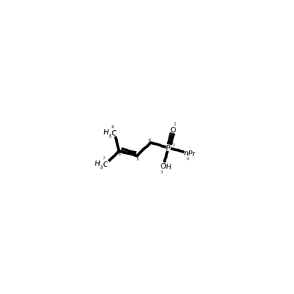 CCCP(=O)(O)CC=C(C)C